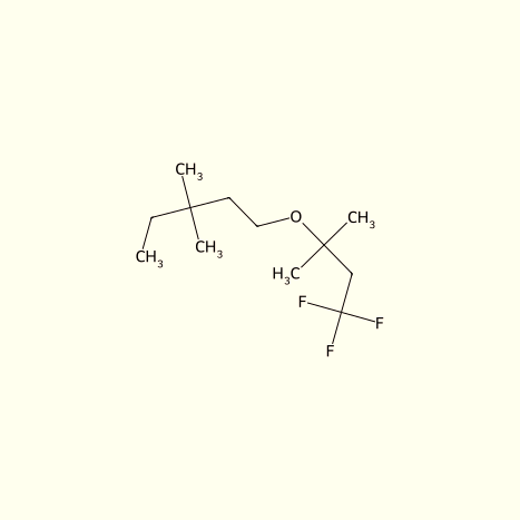 CCC(C)(C)CCOC(C)(C)CC(F)(F)F